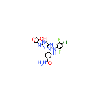 NC(=O)[C@H]1CC[C@H](n2c(Nc3cc(F)c(Cl)cc3F)nc3cnc(N[C@@H]4COC[C@H]4O)nc32)CC1